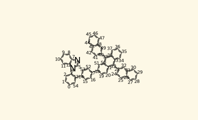 c1ccc(-n2cnc3ccccc32)c(-c2ccc(-c3ccc4c(-c5ccc6ccccc6c5)c5ccccc5c(-c5ccc6ccccc6c5)c4c3)cc2)c1